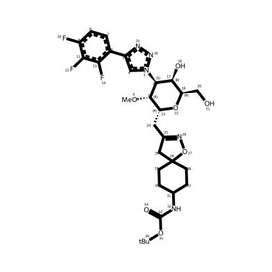 CO[C@@H]1[C@@H](n2cc(-c3ccc(F)c(F)c3F)nn2)[C@@H](O)[C@@H](CO)O[C@@H]1CC1=NOC2(CCC(NC(=O)OC(C)(C)C)CC2)C1